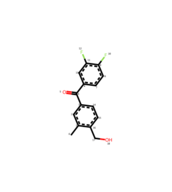 Cc1cc(C(=O)c2ccc(F)c(F)c2)ccc1CO